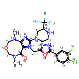 CN1COCN(C)c2nc(N3CCNC(C(F)(F)F)C3)n(Cc3nnc(-c4ccc(Cl)c(Cl)c4)o3)c2C1=O